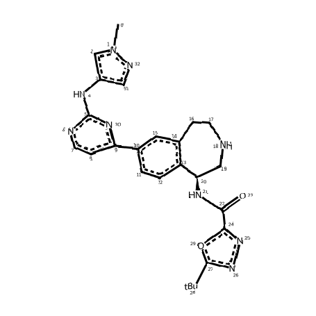 Cn1cc(Nc2nccc(-c3ccc4c(c3)CCNC[C@H]4NC(=O)c3nnc(C(C)(C)C)o3)n2)cn1